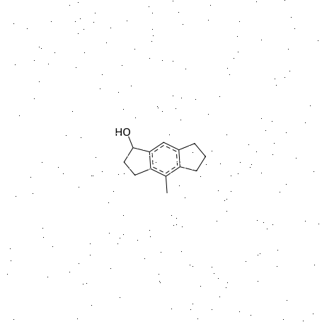 Cc1c2c(cc3c1CCC3O)CCC2